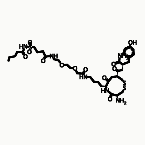 CCCCC(=O)NS(=O)(=O)CCCC(=O)NCCOCCOCC(=O)NCCCC[C@@H]1NC(=O)[C@@H](N)CSSC[C@@H](C(=O)C[C@@H](Cc2ccc(O)cc2)C(N)=O)CC1=O